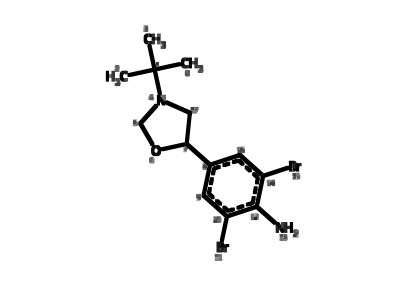 CC(C)(C)N1COC(c2cc(Br)c(N)c(Br)c2)C1